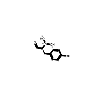 O=[C][C@H](Cc1ccc(O)cc1)N(O)O